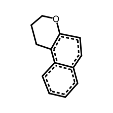 c1ccc2c3c(ccc2c1)OCCC3